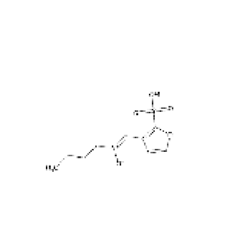 CCCC[N+]([O-])=Cc1ccoc1S(=O)(=O)O